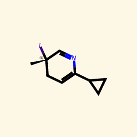 C[C@@]1(I)C=NC(C2CC2)=CC1